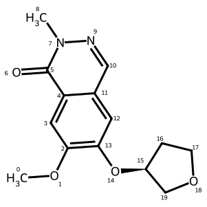 COc1cc2c(=O)n(C)ncc2cc1O[C@H]1CCOC1